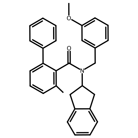 COc1cccc(CN(C(=O)c2c(C)cccc2-c2ccccc2)C2Cc3ccccc3C2)c1